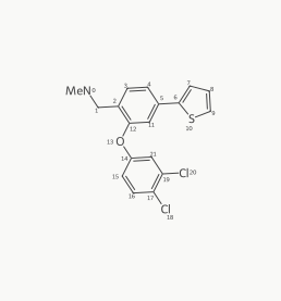 CNCc1ccc(-c2cccs2)cc1Oc1ccc(Cl)c(Cl)c1